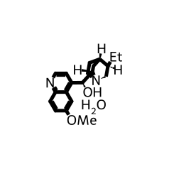 CC[C@H]1C[N@]2CC[C@H]1C[C@H]2[C@H](O)c1ccnc2ccc(OC)cc12.O